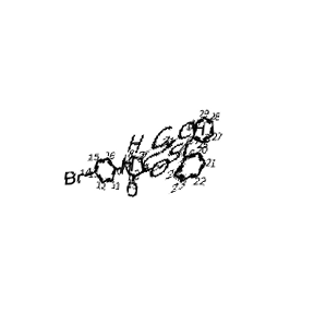 CC(C)(C)[Si](OC1CCN(c2ccc(Br)cc2)C1=O)(c1ccccc1)c1ccccc1